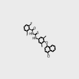 Cc1cc(NC(=S)NC(=O)c2c(F)cccc2F)cc(C)c1Oc1ccc(Cl)c2ccccc12